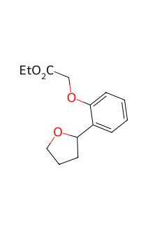 CCOC(=O)COc1ccccc1C1CCCO1